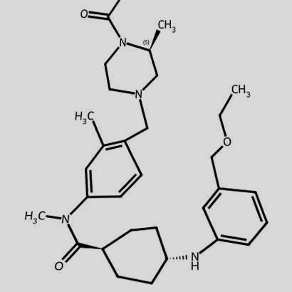 CCOCc1cccc(N[C@H]2CC[C@H](C(=O)N(C)c3ccc(CN4CCN(C(=O)O)[C@@H](C)C4)c(C)c3)CC2)c1